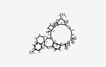 C[C@H]1C[C@@H]2C[C@H](O1)[C@@H]1CC[C@H]1CN1C[C@@]3(CCCc4cc(Cl)ccc43)COc3ccc(cc31)C(=O)NS(=O)(=O)CCO2